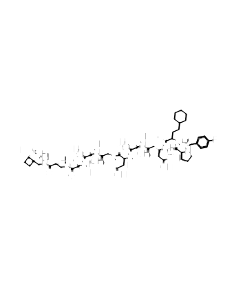 CCCC(NC(=O)C(C)(C)NC(=O)C[C@H](CC(C)C)NC(=O)C(CCC1CCCCC1)NC(=O)C1CCCN1C(=O)c1ccc(F)cc1)C(=O)NCC(=O)NC(C)(C)C(=O)NC(C)(C)C(=O)NCCC(=O)NCC1(N(C)C)CCC1